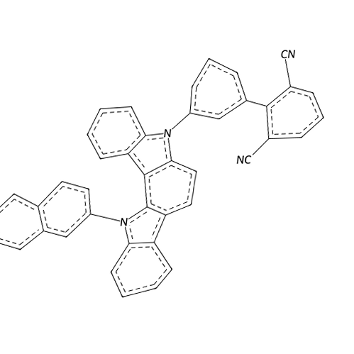 N#Cc1cccc(C#N)c1-c1cccc(-n2c3ccccc3c3c2ccc2c4ccccc4n(-c4ccc5ccccc5c4)c23)c1